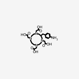 Nc1ccc(CC2CN(CC(=O)O)CCN(CC(=O)O)CCCN(CC(=O)O)CCN(CC(=O)O)C2)cc1